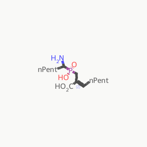 CCCCC/C=C(\CP(=O)(O)C(N)CCCCC)C(=O)O